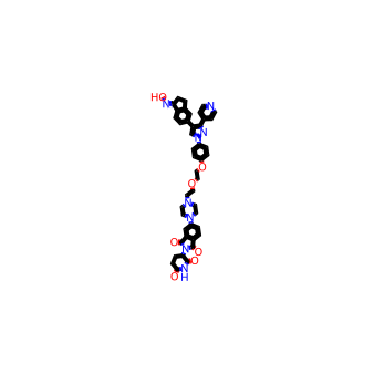 O=C1CCC(N2C(=O)c3ccc(N4CCN(CCOCCOc5ccc(-n6cc(-c7ccc8c(c7)CC/C8=N\O)c(-c7ccncc7)n6)cc5)CC4)cc3C2=O)C(=O)N1